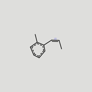 C/C=C\c1ccccc1C